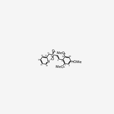 COc1cc(OC)c(/C=C/S(=O)(=O)Cc2ccccn2)c(OC)c1